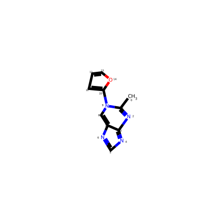 Cc1nc2ncnc-2cn1-c1ccco1